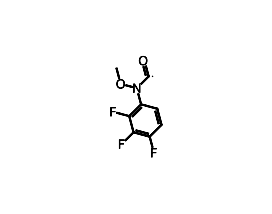 CON([C]=O)c1ccc(F)c(F)c1F